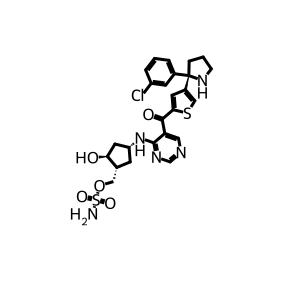 NS(=O)(=O)OC[C@H]1C[C@@H](Nc2ncncc2C(=O)c2cc([C@@]3(c4cccc(Cl)c4)CCCN3)cs2)C[C@@H]1O